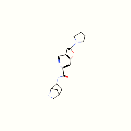 O=C(NC1CC2CNC1C2)c1cc2oc(N3CCCC3)cc2cn1